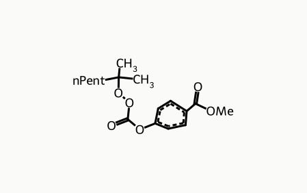 CCCCCC(C)(C)OOC(=O)Oc1ccc(C(=O)OC)cc1